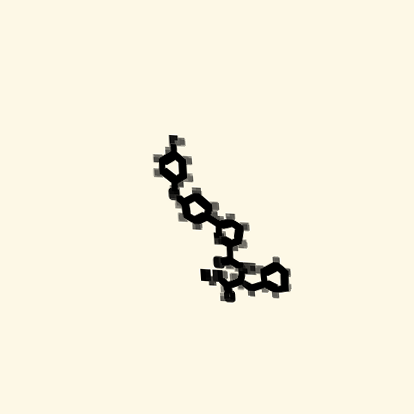 NC(=O)[C@H](Cc1ccccc1)NC(=O)c1cccc(-c2ccc(Oc3ccc(F)cc3)cc2)n1